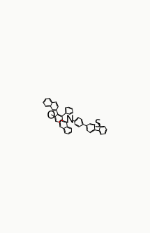 c1ccc(N(c2ccc(-c3ccc4c(c3)sc3ccccc34)cc2)c2cccc3ccccc23)c(-c2cccc3oc4c5ccccc5ccc4c23)c1